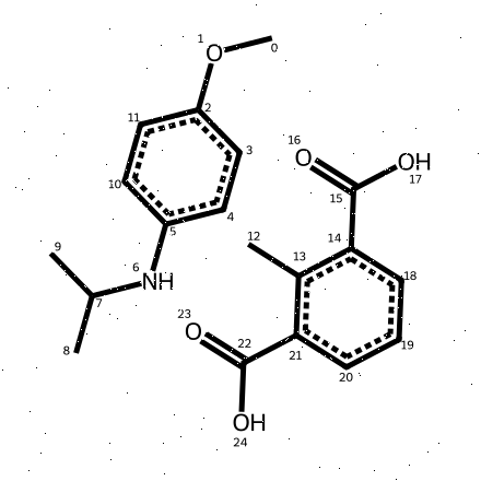 COc1ccc(NC(C)C)cc1.Cc1c(C(=O)O)cccc1C(=O)O